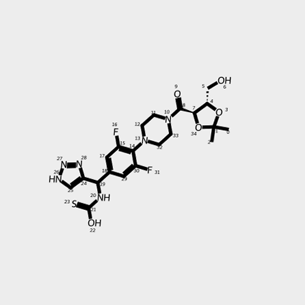 CC1(C)O[C@@H](CO)[C@H](C(=O)N2CCN(c3c(F)cc(C(NC(O)=S)c4c[nH]nn4)cc3F)CC2)O1